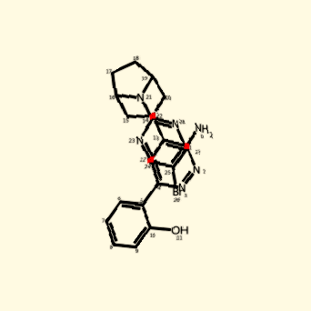 Nc1nnc(-c2ccccc2O)cc1N1CC2CCC(C1)N2c1ncc(Br)cn1